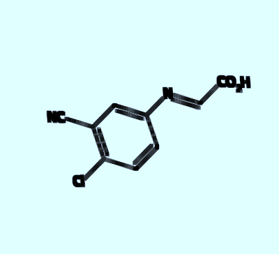 N#Cc1cc(/N=C/C(=O)O)ccc1Cl